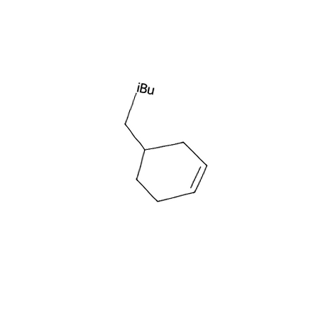 CCC(C)CC1CC=CCC1